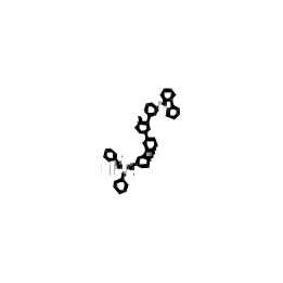 c1ccc(C2N=C(c3ccc4oc5ccc(-c6ccc7sc8ccc(-n9c%10ccccc%10c%10ccccc%109)cc8c7c6)cc5c4c3)NC(c3ccccc3)N2)cc1